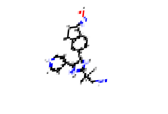 CC(C)(CN)c1nc(-c2ccc3c(c2)CC/C3=N\O)c(-c2ccncc2)[nH]1